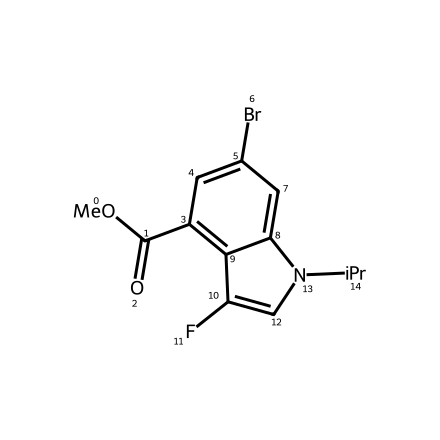 COC(=O)c1cc(Br)cc2c1c(F)cn2C(C)C